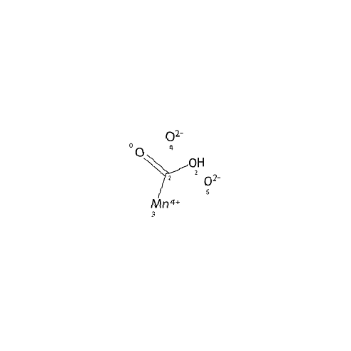 O=[C](O)[Mn+4].[O-2].[O-2]